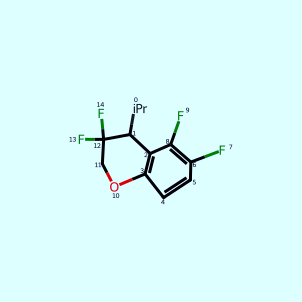 CC(C)C1c2c(ccc(F)c2F)OCC1(F)F